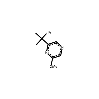 CCCC(C)(C)c1cncc(OC)n1